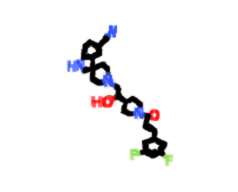 N#Cc1ccc2c(c1)C1(CCN(CC(O)C3CCN(C(=O)C=Cc4cc(F)cc(F)c4)CC3)CC1)CN2